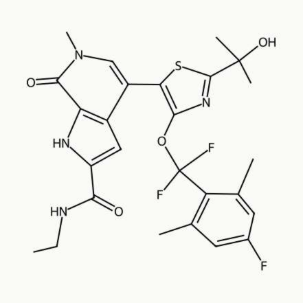 CCNC(=O)c1cc2c(-c3sc(C(C)(C)O)nc3OC(F)(F)c3c(C)cc(F)cc3C)cn(C)c(=O)c2[nH]1